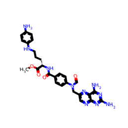 COC(=O)[C@H](CCCNc1ccc(N)cc1)NC(=O)c1ccc(N(C=O)Cc2cnc3nc(N)nc(N)c3n2)cc1